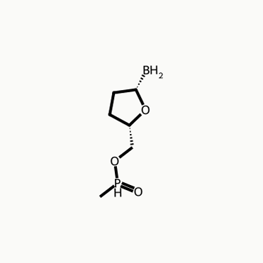 B[C@H]1CC[C@@H](CO[PH](C)=O)O1